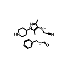 Cc1nn(C2CCNCC2)c(C)c1NCC#N.O=COCc1ccccc1